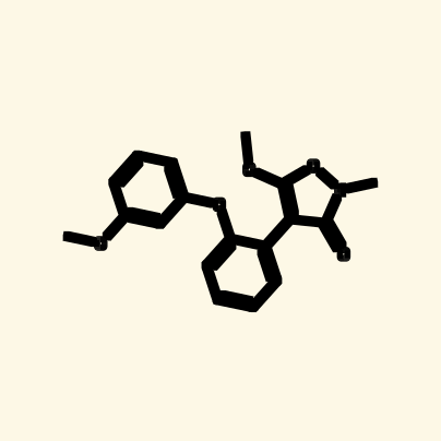 COc1cccc(Oc2ccccc2-c2c(OC)on(C)c2=O)c1